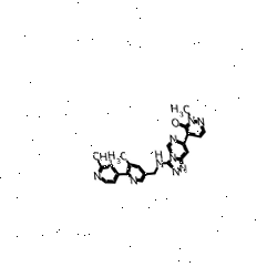 Cc1cc(-c2ncc(CNc3nnc4cc(-c5ccnn(C)c5=O)ncn34)cc2C)ccn1